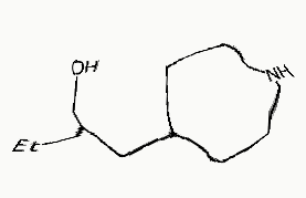 CCC(O)CC1CCNCC1